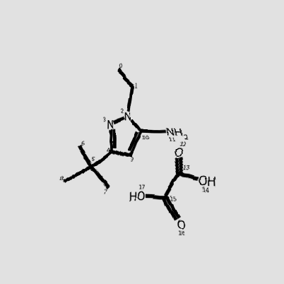 CCn1nc(C(C)(C)C)cc1N.O=C(O)C(=O)O